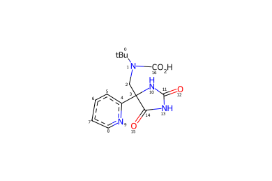 CC(C)(C)N(CC1(c2ccccn2)NC(=O)NC1=O)C(=O)O